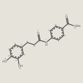 COC(=O)c1ccc(NC(=O)CCc2ccc(O)c(O)c2)cc1